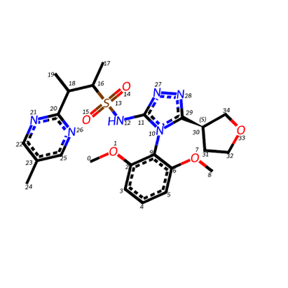 COc1cccc(OC)c1-n1c(NS(=O)(=O)C(C)C(C)c2ncc(C)cn2)nnc1[C@@H]1CCOC1